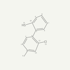 Cc1ccc(-c2ccccc2S)c(Cl)c1